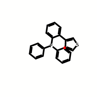 c1ccc(P(c2ccccc2)c2ccccc2-c2ccsc2)cc1